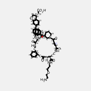 NCCOCCNC(=O)[C@@H]1CCNC(=O)/C=C/C(=O)N2CCC[C@](Cc3ccccc3)(C2)C(=O)N[C@@H](Cc2ccc(-c3ccc4c(c3)OC[C@@H]4CC(=O)O)cc2)C(=O)NCc2ccccc2CC(=O)N1